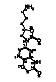 NCCCC1CN(c2cnc3c(n2)NC(=O)CO3)C(=O)O1